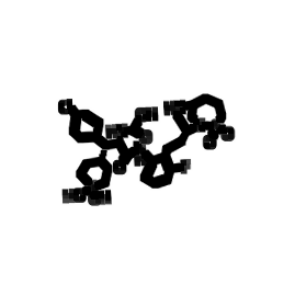 O=C(O)N[C@H](C(=O)Nc1cccc(F)c1CC[C@H]1CNC2CCCS(=O)(=O)N1C2)[C@@H](c1ccc(Cl)cc1)C1CCS(O)(O)CC1